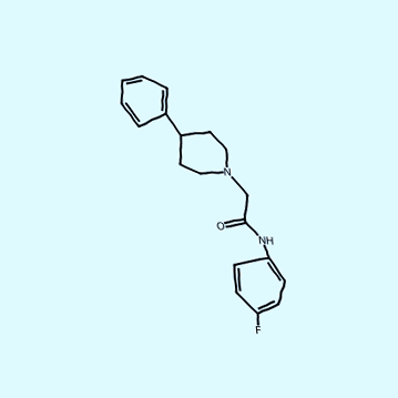 O=C(CN1CCC(c2ccccc2)CC1)Nc1ccc(F)cc1